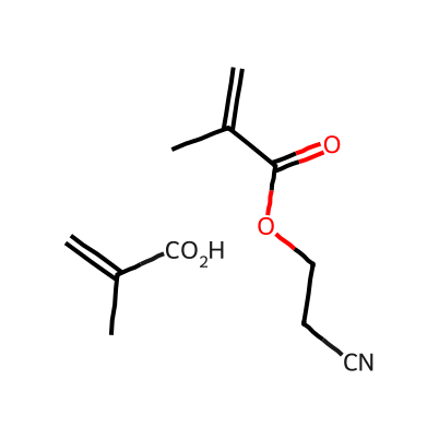 C=C(C)C(=O)O.C=C(C)C(=O)OCCC#N